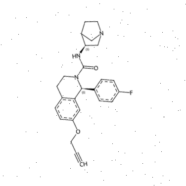 C#CCOc1ccc2c(c1)[C@H](c1ccc(F)cc1)N(C(=O)N[C@@H]1CN3CCC1C3)CC2